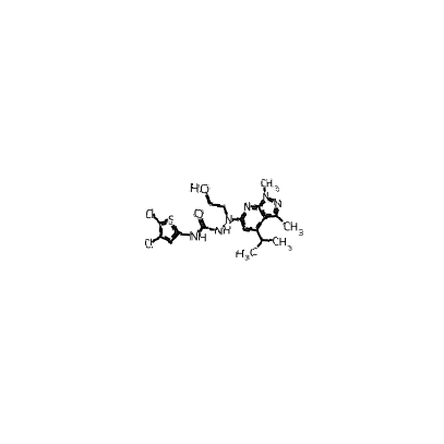 Cc1nn(C)c2nc(N(CCO)NC(=O)Nc3cc(Cl)c(Cl)s3)cc(C(C)C)c12